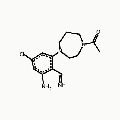 CC(=O)N1CCCN(c2cc(Cl)cc(N)c2C=N)CC1